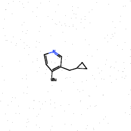 CC(C)(C)c1ccncc1CC1CC1